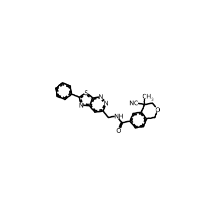 CC1(C#N)COCc2ccc(C(=O)NCc3cc4nc(-c5ccccc5)sc4nn3)cc21